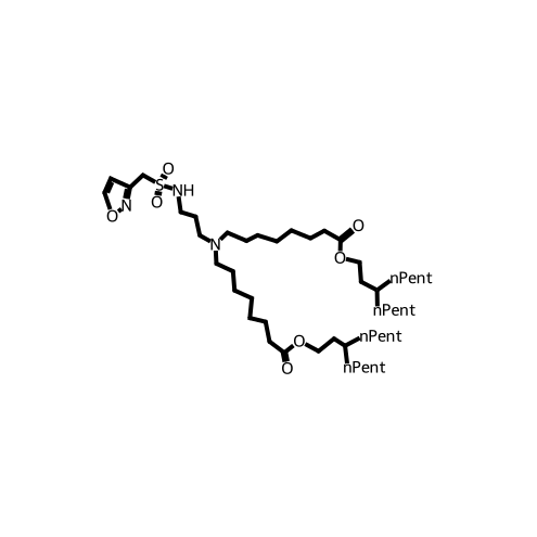 CCCCCC(CCCCC)CCOC(=O)CCCCCCCN(CCCCCCCC(=O)OCCC(CCCCC)CCCCC)CCCNS(=O)(=O)Cc1ccon1